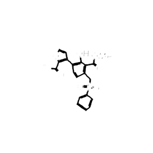 CCC(=O)c1occc1-c1ccc(CS(=O)(=O)c2ccccc2)c(C(=O)OC)c1O